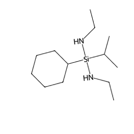 CCN[Si](NCC)(C(C)C)C1CCCCC1